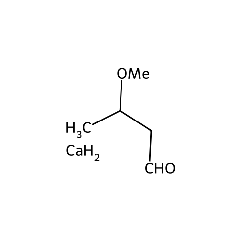 COC(C)CC=O.[CaH2]